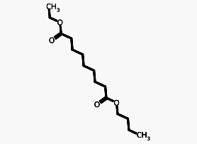 CCCCOC(=O)CCCCCCCC(=O)OCC